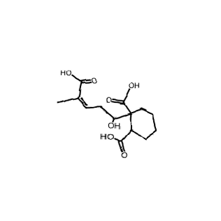 CC(=CCC(O)C1(C(=O)O)CCCCC1C(=O)O)C(=O)O